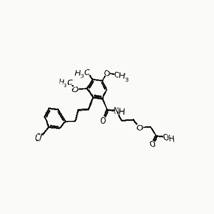 COc1cc(C(=O)NCCOCC(=O)O)c(CCCc2cccc(Cl)c2)c(OC)c1C